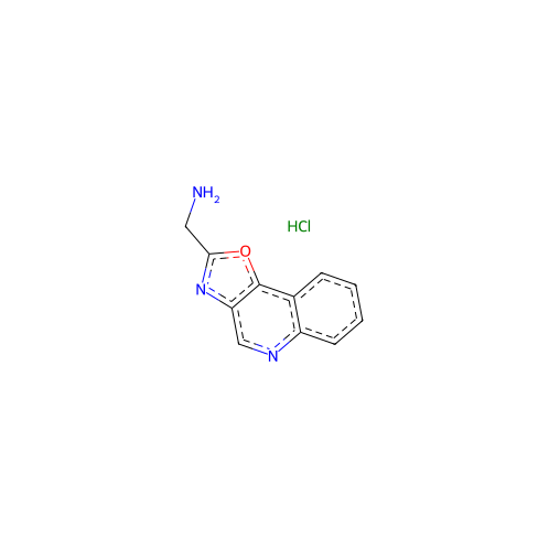 Cl.NCc1nc2cnc3ccccc3c2o1